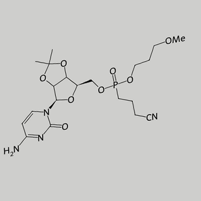 COCCCOP(=O)(CCCC#N)OC[C@H]1O[C@@H](n2ccc(N)nc2=O)C2OC(C)(C)OC21